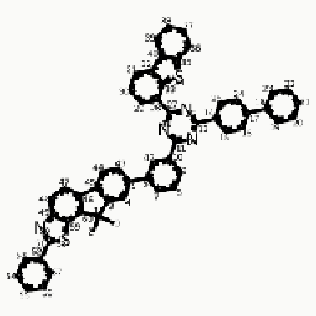 CC1(C)c2cc(-c3cccc(-c4nc(-c5ccc(-c6ccccc6)cc5)nc(-c5cccc6c5sc5ccccc56)n4)c3)ccc2-c2ccc3nc(-c4ccccc4)sc3c21